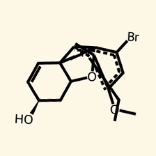 CCN1CCC23C=C[C@H](O)CC2Oc2c(OC)cc(Br)c(c23)C1